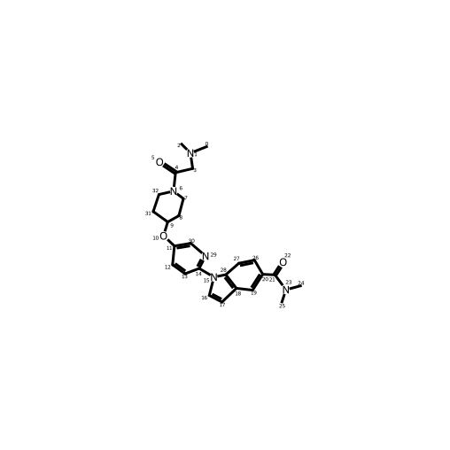 CN(C)CC(=O)N1CCC(Oc2ccc(-n3ccc4cc(C(=O)N(C)C)ccc43)nc2)CC1